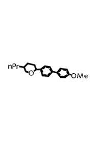 CCCC1CCC(c2ccc(-c3ccc(OC)cc3)cc2)OC1